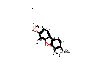 CCCCCOc1ccc2c(oc3c(C)c(CCCC)ccc32)c1C